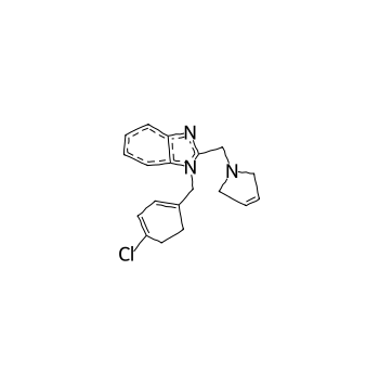 ClC1=CC=C(Cn2c(CN3CC=CC3)nc3ccccc32)CC1